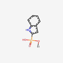 CCOP(=O)(O)c1cc2ccccc2[nH]1